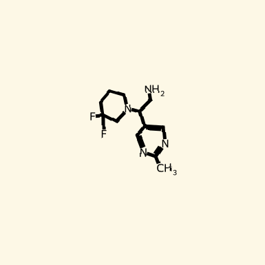 Cc1ncc(C(CN)N2CCCC(F)(F)C2)cn1